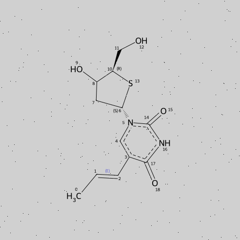 C/C=C/c1cn([C@@H]2CC(O)[C@@H](CO)S2)c(=O)[nH]c1=O